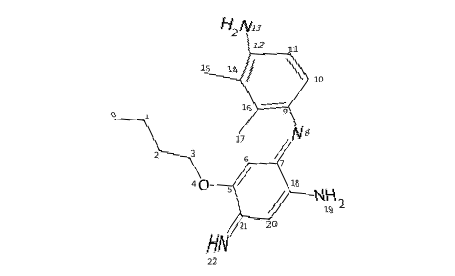 CCCCOC1=C/C(=N\c2ccc(N)c(C)c2C)C(N)=CC1=N